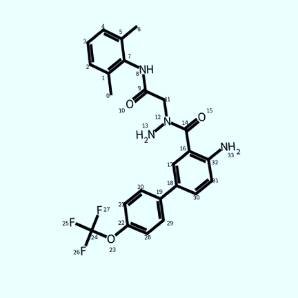 Cc1cccc(C)c1NC(=O)CN(N)C(=O)c1cc(-c2ccc(OC(F)(F)F)cc2)ccc1N